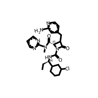 CC[C@@H](NC(=O)N1C(=O)C(Cc2ccnc(N)c2)[C@H]1C(=O)N(C)c1ncccn1)C1CCCC(Cl)C1